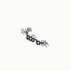 C=C1c2cc(CCC(C)(N)NC)ccc2Cc2ccc(Cc3cccc(C(C)(C)C)c3)cc21